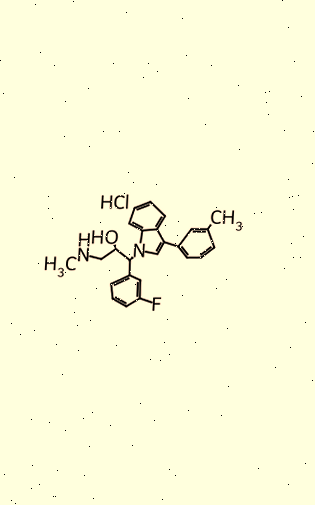 CNC[C@@H](O)[C@H](c1cccc(F)c1)n1cc(-c2cccc(C)c2)c2ccccc21.Cl